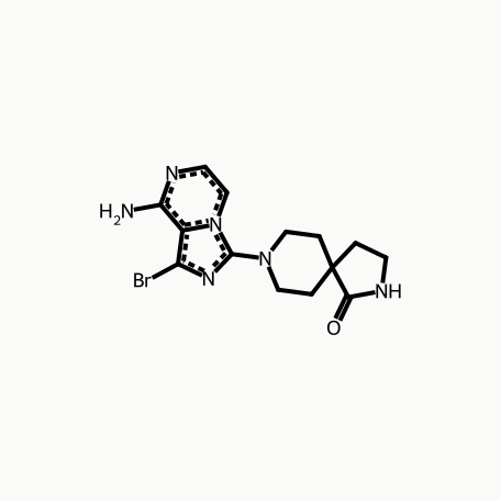 Nc1nccn2c(N3CCC4(CCNC4=O)CC3)nc(Br)c12